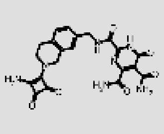 NC(=O)c1nc(C(=O)NCc2ccc3c(c2)CN(c2c(N)c(=O)c2=O)CC3)[nH]c(=O)c1C(N)=O